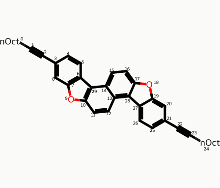 CCCCCCCCC#Cc1ccc2c(c1)oc1ccc3c(ccc4oc5cc(C#CCCCCCCCC)ccc5c43)c12